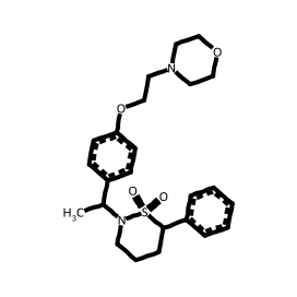 CC(c1ccc(OCCN2CCOCC2)cc1)N1CCCC(c2ccccc2)S1(=O)=O